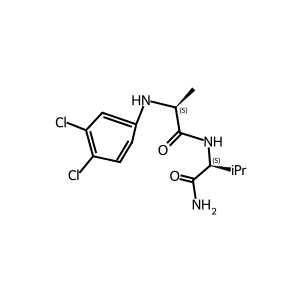 CC(C)[C@H](NC(=O)[C@H](C)Nc1ccc(Cl)c(Cl)c1)C(N)=O